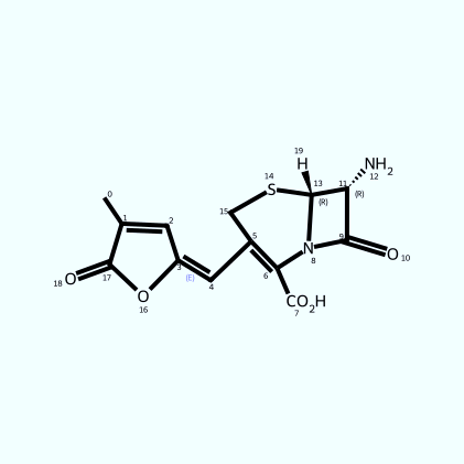 CC1=C/C(=C\C2=C(C(=O)O)N3C(=O)[C@@H](N)[C@H]3SC2)OC1=O